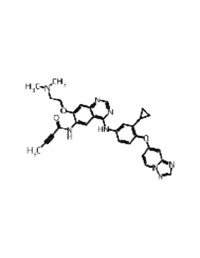 CC#CC(=O)Nc1cc2c(Nc3ccc(Oc4ccn5ncnc5c4)c(C4CC4)c3)ncnc2cc1OCCN(C)C